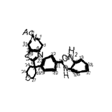 CC(=O)N1CCc2nc(C3(c4ccc(C(=O)Nc5ccccc5N)cc4)CCOCC3)sc2C1